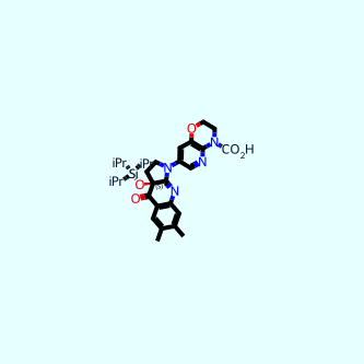 Cc1cc2c(cc1C)C(=O)[C@]1(O[Si](C(C)C)(C(C)C)C(C)C)CCN(c3cnc4c(c3)OCCN4C(=O)O)C1=N2